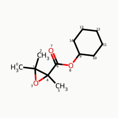 CC1(C)OC1(C)C(=O)OC1CCCCC1